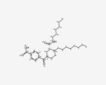 CCCCCCCCN1CCN(C(=O)c2ccc(C(=O)O)cc2)C[C@@H]1C(=O)NCCCCCC